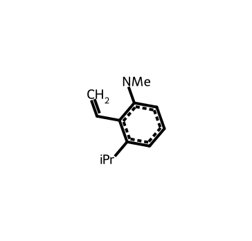 C=Cc1c(NC)cccc1C(C)C